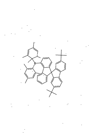 CC1=CC(C)C(C)(B(c2cccc3c2-c2ccccc2C32c3cc(C(C)(C)C)ccc3-c3ccc(C(C)(C)C)cc32)c2c(C)cc(C)cc2C)C(C)=C1